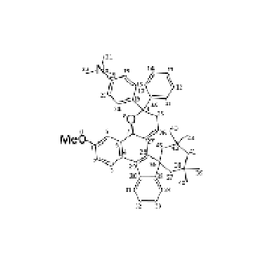 COc1ccc2c(c1)C1OC(c3ccccc3)(c3ccc(N(C)C)cc3)CC=C1C1=C2c2ccccc2C12CC(C)(C)CC(C)(C)C2